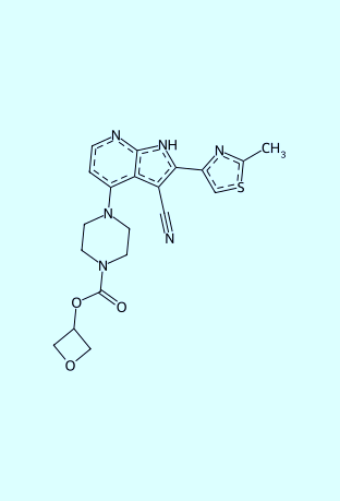 Cc1nc(-c2[nH]c3nccc(N4CCN(C(=O)OC5COC5)CC4)c3c2C#N)cs1